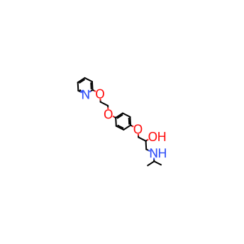 CC(C)NCC(O)COc1ccc(OCCOc2ccccn2)cc1